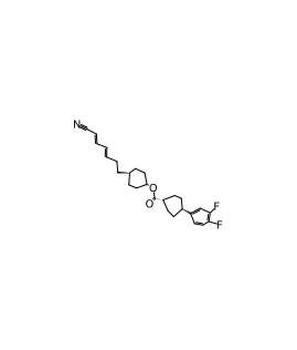 N#CC=CC=CCC[C@H]1CC[C@H](OC(=O)[C@H]2CC[C@H](c3ccc(F)c(F)c3)CC2)CC1